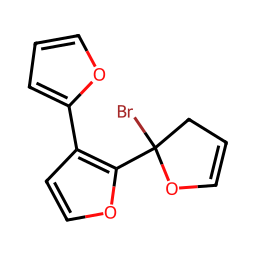 BrC1(c2occc2-c2ccco2)CC=CO1